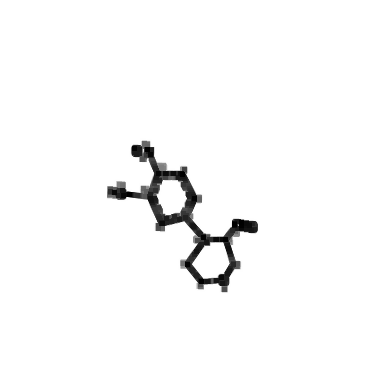 O=CC1COCCN1c1ccc([N+](=O)[O-])c(O)c1